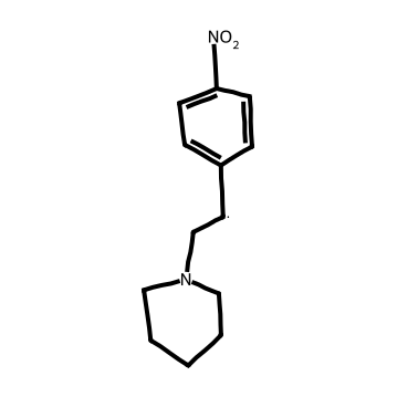 O=[N+]([O-])c1ccc([CH]CN2CCCCC2)cc1